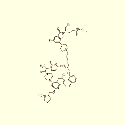 C=C(C(=O)N1CCN(c2nc(OCC3CCCN3C)nc3c(F)c(-c4c(F)cccc4OCCCCCCCN4CCC(c5cc(F)cc6c5CN(C(C=O)CCC(=O)NC)C6=O)CC4)c(Cl)cc23)CC1)n1ccc(N)nc1=O